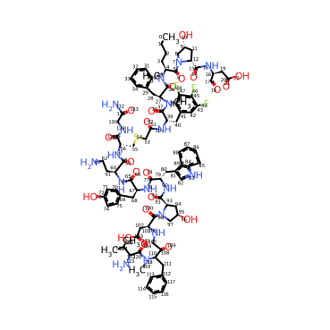 CCCC[C@@H](C(=O)N1C[C@H](O)C[C@@H]1C(=O)N[C@H](C=O)CC(=O)O)N(C)C(=O)[C@H](Cc1ccccc1)N(C)C(=O)[C@H](Cc1cc(F)c(F)c(F)c1)NC(=O)CSC[C@H](NC(=O)[C@H](CCN)NC(=O)[C@H](Cc1ccc(O)cc1)NC(=O)[C@H](Cc1c[nH]c2ccccc12)NC(=O)[C@H]1C[C@@H](O)CN1C(=O)[C@H](CC(=O)O)NCC(=O)C(Cc1ccccc1)N(C)C(=O)[C@@H](N)C(C)C)C(=O)NCC(N)=O